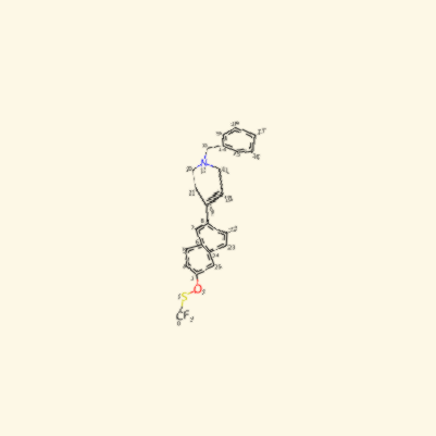 FC(F)(F)SOc1ccc2cc(C3=CCN(Cc4ccccc4)CC3)ccc2c1